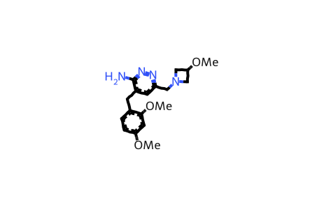 COc1ccc(Cc2cc(CN3CC(OC)C3)nnc2N)c(OC)c1